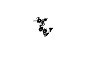 CC(C)(C)c1cc(NC(=O)NCc2ccccc2Oc2ccc3c(c2)sc2ncc(COCC4CC4)n23)n(-c2ccc(O)c(Cl)c2)n1